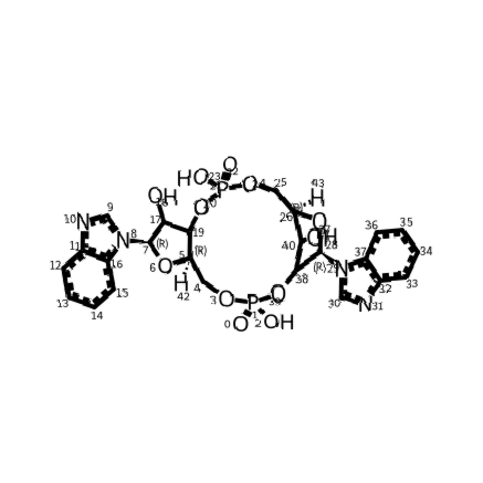 O=P1(O)OC[C@H]2O[C@@H](n3cnc4ccccc43)C(O)C2OP(=O)(O)OC[C@H]2O[C@@H](n3cnc4ccccc43)C(O1)C2O